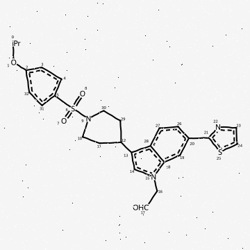 CC(C)Oc1ccc(S(=O)(=O)N2CCC(c3cn(CC=O)c4cc(-c5nccs5)ccc34)CC2)cc1